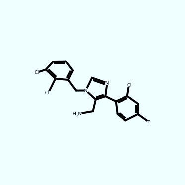 NCc1c(-c2ccc(F)cc2Cl)ncn1Cc1cccc(Cl)c1Cl